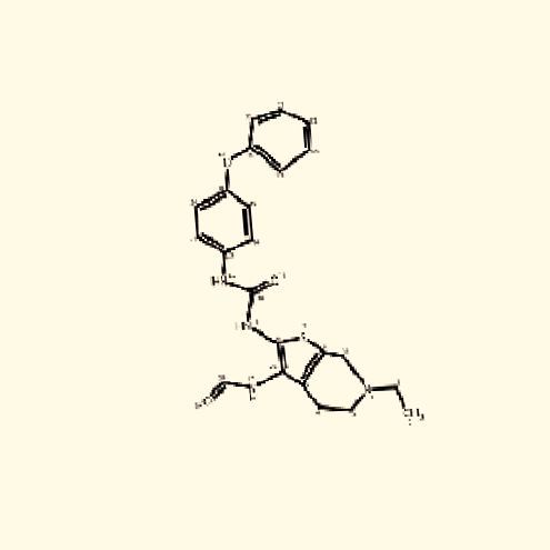 CCN1CCc2c(sc(NC(=O)Nc3ccc(Oc4ccccc4)cc3)c2NC=O)C1